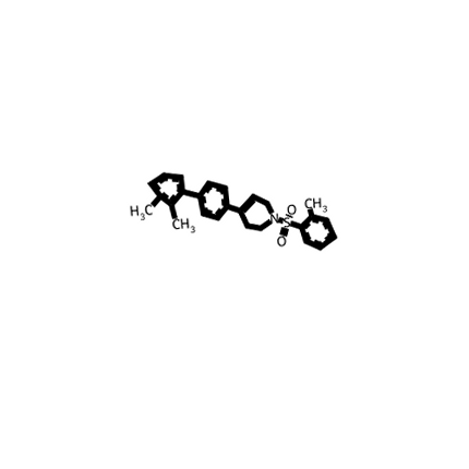 Cc1ccccc1S(=O)(=O)N1CC=C(c2ccc(-c3cccc(C)c3C)cc2)CC1